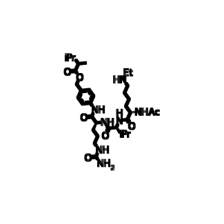 CCNCCCC[C@H](NC(C)=O)C(=O)N[C@H](C(=O)N[C@@H](CCCNC(N)=O)C(=O)Nc1ccc(COC(=O)C(C)C(C)C)cc1)C(C)C